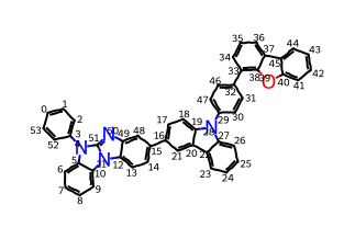 c1ccc(-n2c3ccccc3n3c4ccc(-c5ccc6c(c5)c5ccccc5n6-c5ccc(-c6cccc7c6oc6ccccc67)cc5)cc4nc23)cc1